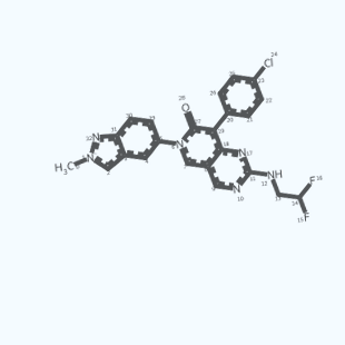 Cn1cc2cc(-n3cc4cnc(NCC(F)F)nc4c(-c4ccc(Cl)cc4)c3=O)ccc2n1